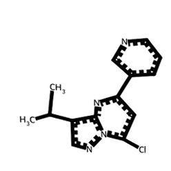 CC(C)c1cnn2c(Cl)cc(-c3cccnc3)nc12